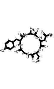 CC1NC(=O)C(CC2C=CC(O)=CC2)NC(=O)CNC(=O)C(CO)NC(=O)C(CC(N)=O)NC1=O